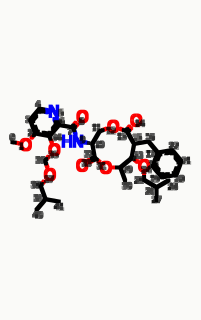 COc1ccnc(C(=O)N[C@H]2COC(=O)C(Cc3ccccc3)[C@@H](OCC(C)C)C(C)OC2=O)c1OCOCC(C)C